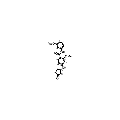 COc1cccc(NC(=O)c2ccc(NC3=CC(=O)CC3)cc2OC)c1